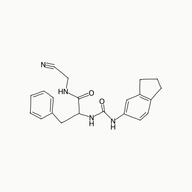 N#CCNC(=O)C(Cc1ccccc1)NC(=O)Nc1ccc2c(c1)CCC2